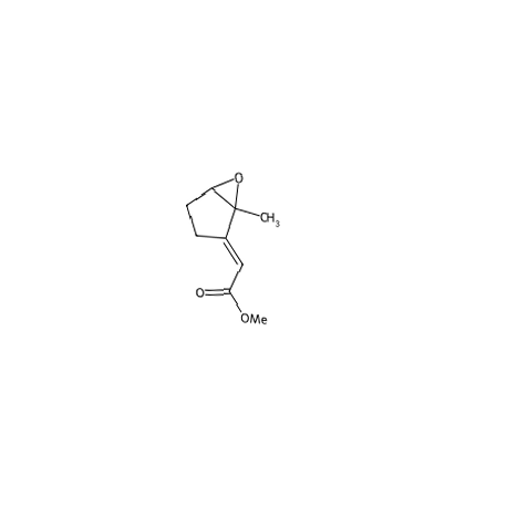 COC(=O)C=C1CCC2OC12C